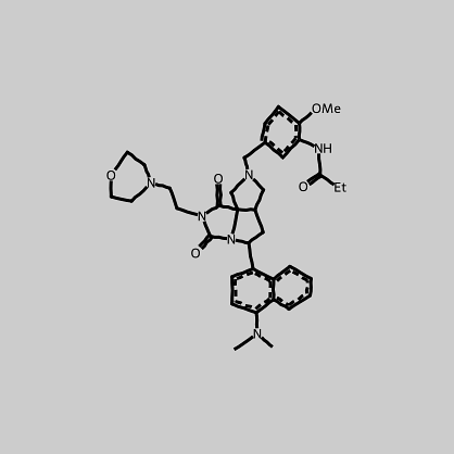 CCC(=O)Nc1cc(CN2CC3CC(c4ccc(N(C)C)c5ccccc45)N4C(=O)N(CCN5CCOCC5)C(=O)C34C2)ccc1OC